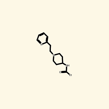 CCC(=O)NC1CCN(CCc2ccccn2)CC1